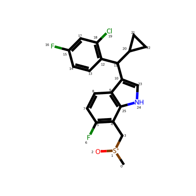 C[S+]([O-])Cc1c(F)ccc2c(C(c3ccc(F)cc3Cl)C3CC3)c[nH]c12